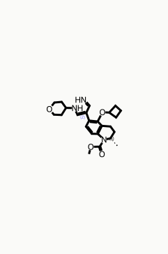 COC(=O)N1c2ccc(/C(C=N)=C/NC3CCOCC3)c(OC3CCC3)c2CC[C@@H]1C